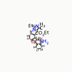 CCOC(=O)c1c(C)nc(CC)n1Cc1ccc2oc(-c3ccccc3N)c(Br)c2c1